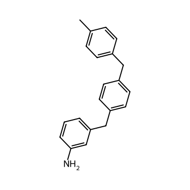 Cc1ccc(Cc2ccc(Cc3cccc(N)c3)cc2)cc1